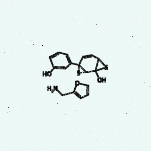 NCc1ccco1.Oc1cccc(C23C=CC4SC4(O)C2S3)c1